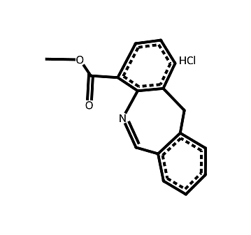 COC(=O)c1cccc2c1N=Cc1ccccc1C2.Cl